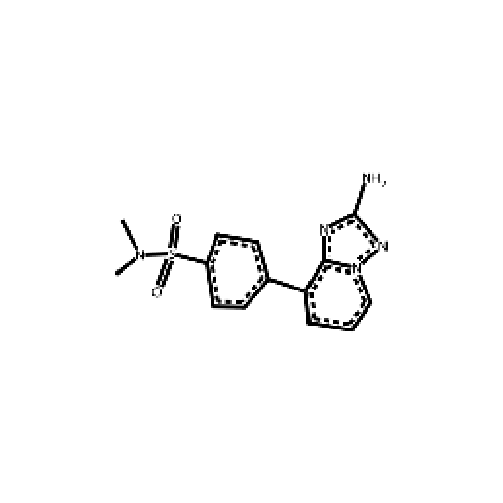 CN(C)S(=O)(=O)c1ccc(-c2cccn3nc(N)nc23)cc1